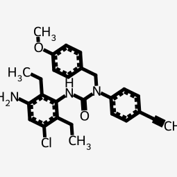 C#Cc1ccc(N(Cc2ccc(OC)cc2)C(=O)Nc2c(CC)c(N)cc(Cl)c2CC)cc1